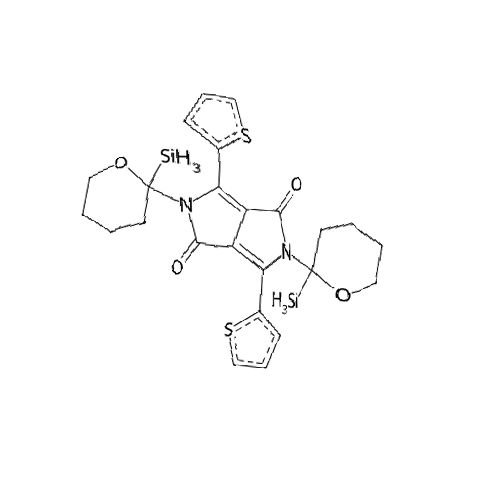 O=C1C2=C(c3cccs3)N(C3([SiH3])CCCCO3)C(=O)C2=C(c2cccs2)N1C1([SiH3])CCCCO1